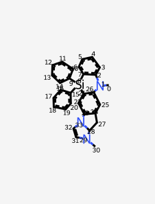 CN1c2ccccc2[Si](c2ccccc2)(c2ccccc2)c2cc3c(cc21)CC1N(C)C=CN31